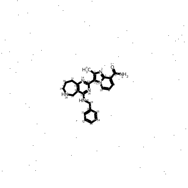 Cc1nc2c(C(N)=O)cccn2c1-c1nc2c(c(NCc3ccccc3)n1)CNCCC2